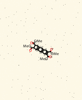 COC(=O)C1C2CC(C1C(=O)OC)C1C3CC(C21)C1C2CC(C(C(=O)OC)C2C(=O)OC)C31